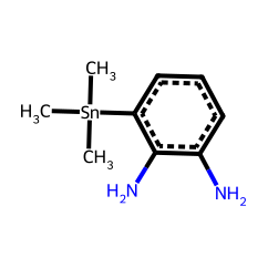 [CH3][Sn]([CH3])([CH3])[c]1cccc(N)c1N